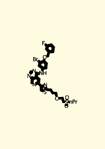 CCCS(=O)(=O)CCOCCCc1nc(-c2cc3c(Nc4ccc(OCc5cccc(F)c5)c(Br)c4)ncnc3cn2)cs1